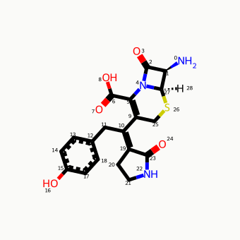 N[C@@H]1C(=O)N2C(C(=O)O)=C(C(Cc3ccc(O)cc3)=C3CCNC3=O)CS[C@H]12